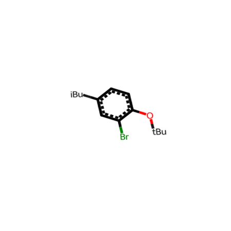 CCC(C)c1ccc(OC(C)(C)C)c(Br)c1